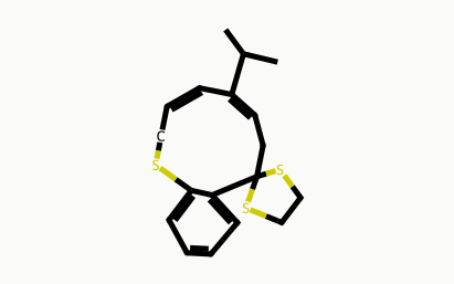 CC(C)C1=C/CC2(SCCS2)c2ccccc2SC/C=C\1